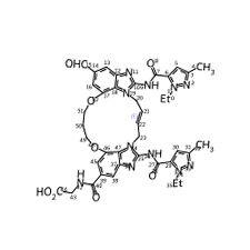 CCn1nc(C)cc1C(=O)Nc1nc2cc(C=O)cc3c2n1C/C=C/Cn1c(NC(=O)c2cc(C)nn2CC)nc2cc(C(=O)NCC(=O)O)cc(c21)OCCCO3